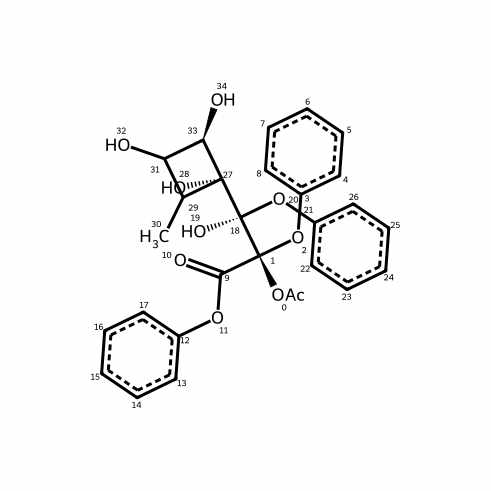 CC(=O)O[C@@](Oc1ccccc1)(C(=O)Oc1ccccc1)[C@](O)(Oc1ccccc1)[C@@]1(O)C(C)C(O)[C@H]1O